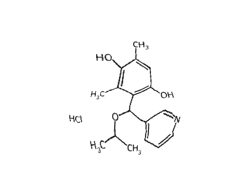 Cc1cc(O)c(C(OC(C)C)c2cccnc2)c(C)c1O.Cl